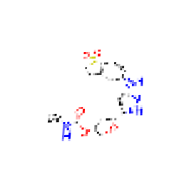 CC(C)NC(=O)OC1COC(c2cc(Nc3ccc4c(c3)CCS4(=O)=O)n[nH]2)C1